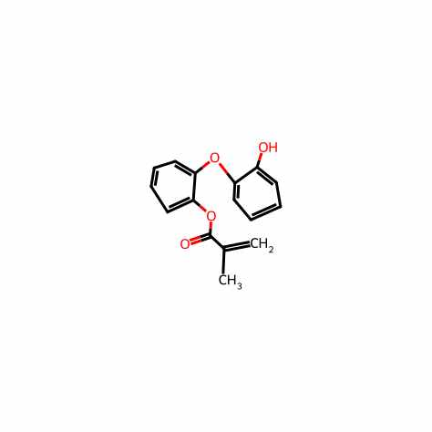 C=C(C)C(=O)Oc1ccccc1Oc1ccccc1O